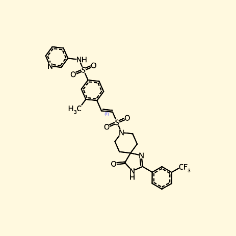 Cc1cc(S(=O)(=O)Nc2cccnc2)ccc1/C=C/S(=O)(=O)N1CCC2(CC1)N=C(c1cccc(C(F)(F)F)c1)NC2=O